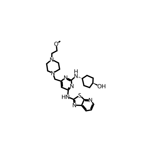 COCCN1CCN(Cc2cc(Nc3nc4cccnc4s3)nc(N[C@H]3CC[C@H](O)CC3)n2)CC1